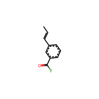 C/C=C/c1cccc(C(=O)F)c1